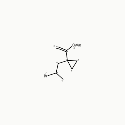 COC(=O)C1(CC(C)Br)CC1